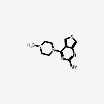 CCCc1nc(N2CCN(C)CC2)c2cscc2n1